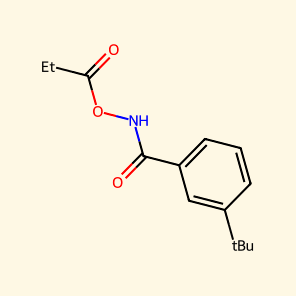 CCC(=O)ONC(=O)c1cccc(C(C)(C)C)c1